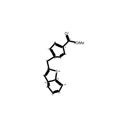 COC(=O)c1ccc(Cc2cc3ccccc3s2)cc1